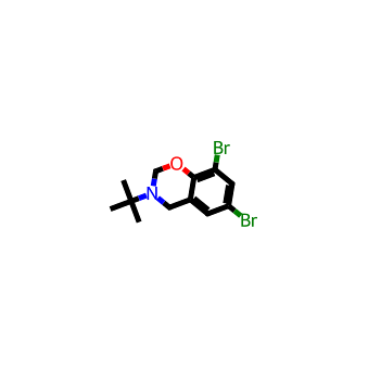 CC(C)(C)N1COc2c(Br)cc(Br)cc2C1